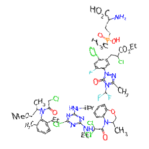 CC1COc2ccccc2N1C(=O)C(Cl)Cl.CCNc1nc(Cl)nc(NC(C)C)n1.CCOC(=O)C(Cl)Cc1cc(-n2nc(C)n(C(F)F)c2=O)c(F)cc1Cl.CCc1cccc(C)c1N(C(=O)CCl)C(C)COC.CP(=O)(O)CCC(N)C(=O)O